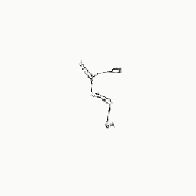 C=C(Cl)C=CS